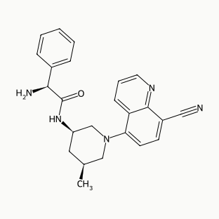 C[C@H]1C[C@@H](NC(=O)[C@@H](N)c2ccccc2)CN(c2ccc(C#N)c3ncccc23)C1